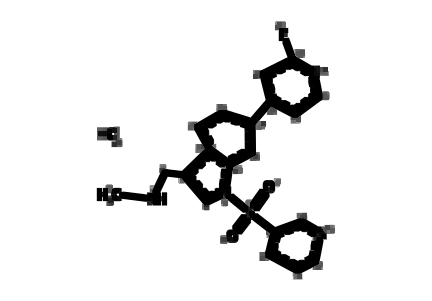 CNCc1cn(S(=O)(=O)c2cccnc2)c2cc(-c3ccnc(F)c3)ccc12.Cl